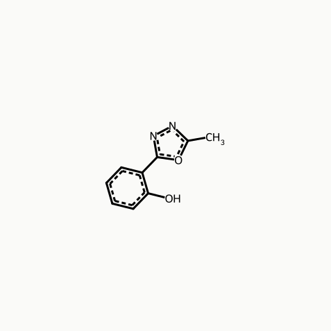 Cc1nnc(-c2ccccc2O)o1